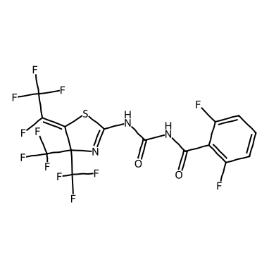 O=C(NC(=O)c1c(F)cccc1F)NC1=NC(C(F)(F)F)(C(F)(F)F)C(=C(F)C(F)(F)F)S1